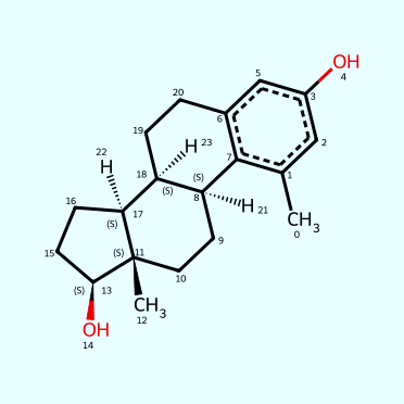 Cc1cc(O)cc2c1[C@H]1CC[C@]3(C)[C@@H](O)CC[C@H]3[C@H]1CC2